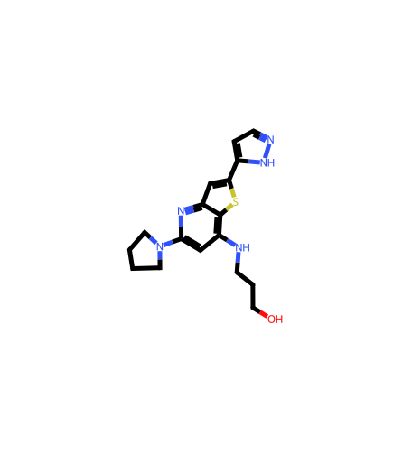 OCCCNc1cc(N2CCCC2)nc2cc(-c3ccn[nH]3)sc12